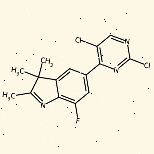 CC1=Nc2c(F)cc(-c3nc(Cl)ncc3Cl)cc2C1(C)C